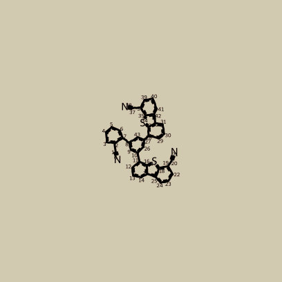 N#Cc1ccccc1-c1cc(-c2cccc3c2sc2c(C#N)cccc23)cc(-c2cccc3c2sc2c(C#N)cccc23)c1